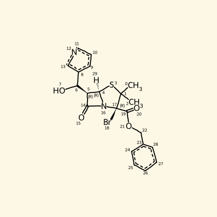 CC1(C)S[C@@H]2[C@H](C(O)c3cccnc3)C(=O)N2[C@@]1(Br)C(=O)OCc1ccccc1